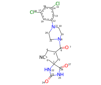 CC1(CC(CC#N)C(=O)N2CCN(c3cc(Cl)cc(Cl)c3)CC2)NC(=O)NC1=O